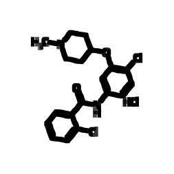 CN1CCC(Oc2cc(NC(=O)c3ccccc3Cl)ccc2Cl)CC1.Cl